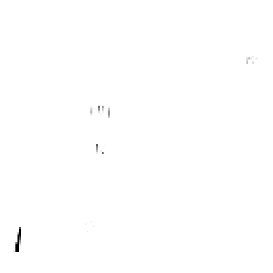 C[C@H]1CCC/C(=N\Nc2ccc(Br)cc2)C1=O